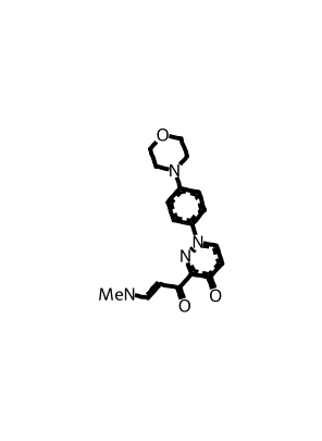 CNC=CC(=O)c1nn(-c2ccc(N3CCOCC3)cc2)ccc1=O